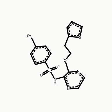 CC(C)c1ccc(S(=O)(=O)Nc2nccnc2OCCc2cccs2)cc1